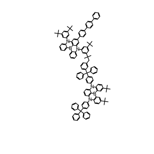 CC(C)(C)c1cc(N2c3ccccc3B3c4ccccc4N(c4cc(C(C)(C)C)cc(C(C)(C)Cc5cccc(C(c6ccccc6)(c6ccccc6)c6ccc(N7c8ccc(C(C)(C)C)cc8B8c9cc(C(C)(C)C)ccc9N(c9ccc(C(c%10ccccc%10)(c%10ccccc%10)c%10ccccc%10)cc9)c9cccc7c98)cc6)c5)c4)c4cc(-c5ccc(-c6ccc(-c7ccccc7)cc6)cc5)cc2c43)cc(C(C)(C)C)c1